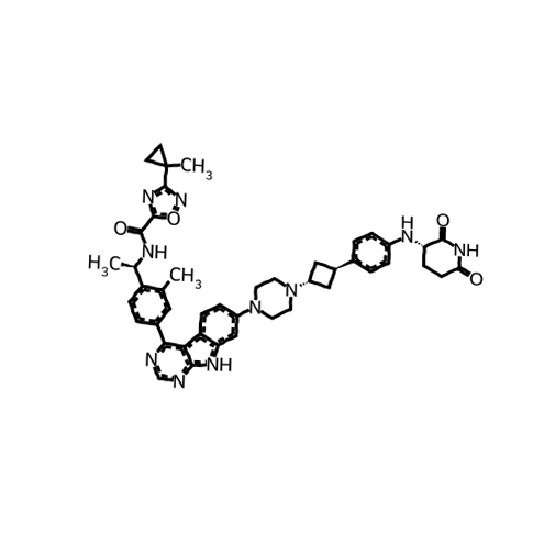 Cc1cc(-c2ncnc3[nH]c4cc(N5CCN([C@H]6C[C@H](c7ccc(N[C@H]8CCC(=O)NC8=O)cc7)C6)CC5)ccc4c23)ccc1[C@@H](C)NC(=O)c1nc(C2(C)CC2)no1